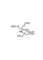 O=COCC(C=O)(COC=O)NC(CC(=O)O)(CC(=O)O)C(=O)O